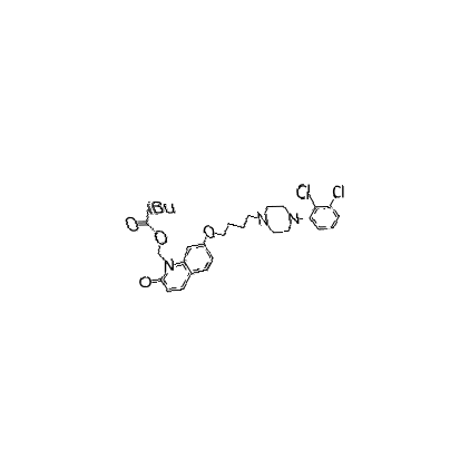 CCC(C)C(=O)OCn1c(=O)ccc2ccc(OCCCCN3CCN(c4cccc(Cl)c4Cl)CC3)cc21